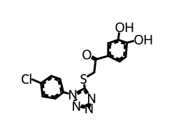 O=C(CSc1nnnn1-c1ccc(Cl)cc1)c1ccc(O)c(O)c1